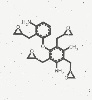 Cc1c(CC2CO2)c(N)c(CC2CO2)c(Oc2cccc(N)c2CC2CO2)c1CC1CO1